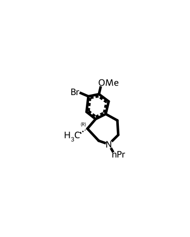 CCCN1CCc2cc(OC)c(Br)cc2[C@@H](C)C1